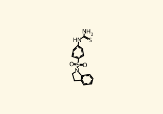 NC(=S)Nc1ccc(S(=O)(=O)N2CCc3ccccc32)cc1